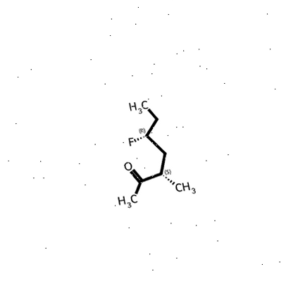 CC[C@@H](F)C[C@H](C)C(C)=O